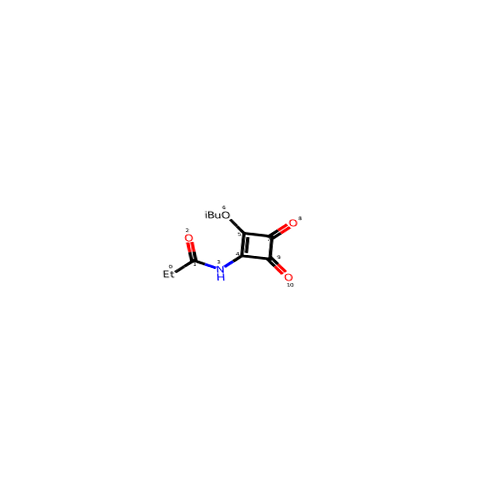 CCC(=O)Nc1c(OCC(C)C)c(=O)c1=O